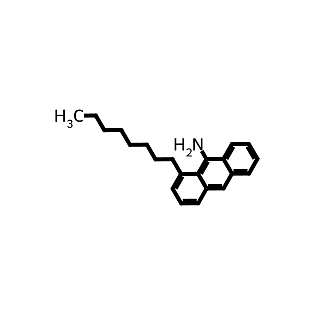 CCCCCCCCc1cccc2cc3ccccc3c(N)c12